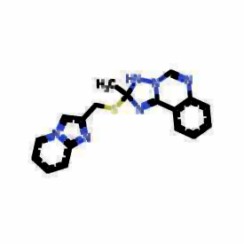 CC1(SCc2cn3ccccc3n2)N=C2c3ccccc3N=CN2N1